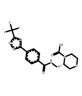 O=C(NC[C@H]1COCCN1C(=O)O)c1ccc(-c2noc(C(F)(F)F)n2)cc1